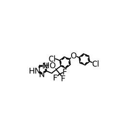 O[C@](Cc1nc[nH]n1)(c1ccc(Oc2ccc(Cl)cc2)cc1Cl)C(F)(F)F